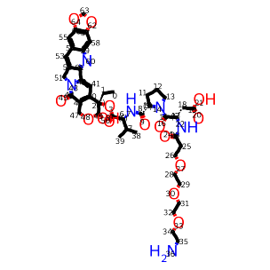 CC[C@]1(OC(=O)[C@@H](NC(=O)[C@@H]2CCCN2C(=O)[C@H](CC(=O)O)NC(=O)CCOCCOCCOCCN)C(C)C)c2cc3n(c(=O)c2COC1O)Cc1cc2cc4c(cc2nc1-3)OCO4